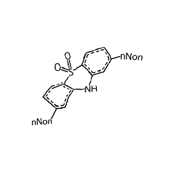 CCCCCCCCCc1ccc2c(c1)Nc1cc(CCCCCCCCC)ccc1S2(=O)=O